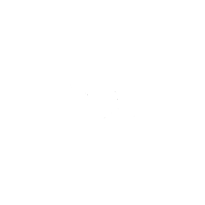 CCCC(=O)C1C(=O)CN(C(=O)OCC)CC1=O